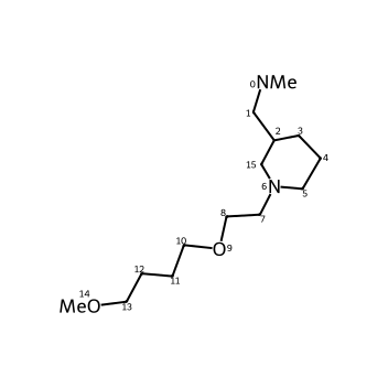 CNCC1CCCN(CCOCCCCOC)C1